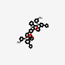 CC(C)(C)c1cccc(N(c2ccc(C3CCCC3)cc2-c2ccccc2)c2ccc3c4cc5c(cc4n4c6ccccc6c2c34)c2ccc(N(c3cccc(C(C)(C)C)c3)c3ccc(C4CCCC4)cc3-c3ccccc3)c3c4ccccc4n5c23)c1